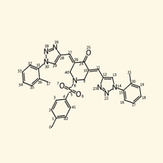 Cc1ccc(S(=O)(=O)N2CC(=Cc3cn(-c4ccccc4C)nn3)C(=O)C(=Cc3cn(-c4ccccc4C)nn3)C2)cc1